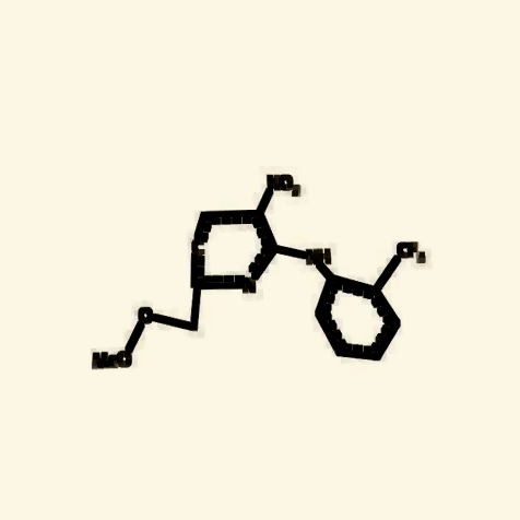 COOCc1ccc([N+](=O)[O-])c(Nc2ccccc2C(F)(F)F)n1